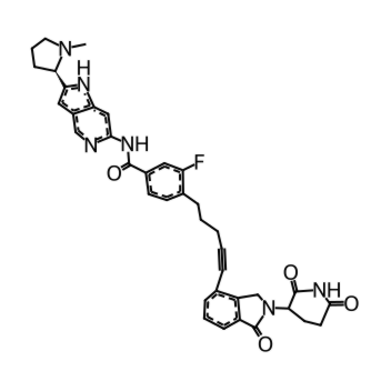 CN1CCC[C@@H]1c1cc2cnc(NC(=O)c3ccc(CCCC#Cc4cccc5c4CN(C4CCC(=O)NC4=O)C5=O)c(F)c3)cc2[nH]1